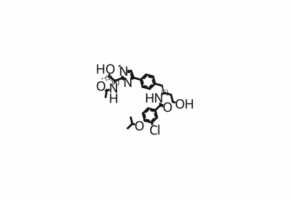 CC(=O)N[C@H](c1nc(-c2ccc(C[C@@H](CCO)NC(=O)c3ccc(OC(C)C)c(Cl)c3)cc2)cn1C)[C@H](C)O